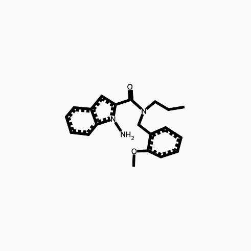 CCCN(Cc1ccccc1OC)C(=O)c1cc2ccccc2n1N